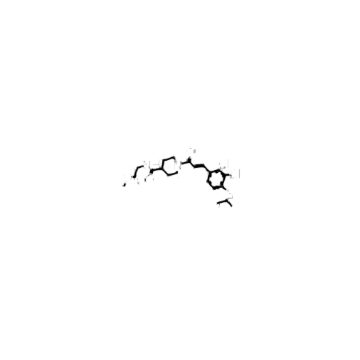 COC(=O)[C@H](C)NC(=O)C1CCN(C(=O)/C=C/c2ccc(SC(C)C)c(Cl)c2Cl)CC1